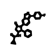 O=C(NC1CC(=O)N(c2ccc3c(-c4ccc(F)cc4)ncn3c2)C1c1ccccc1)C1CC1